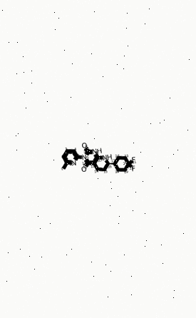 Cc1cccc(-n2c(=O)[nH]c3c(c2=O)CC[C@H](C2CCC(F)(F)CC2)N3)n1